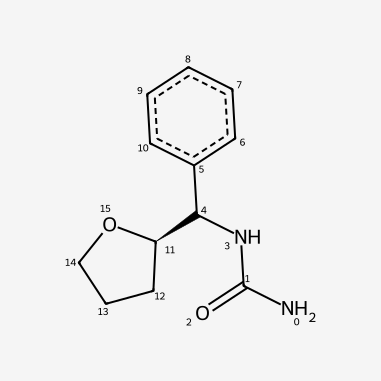 NC(=O)NC(c1ccccc1)[C@H]1CCCO1